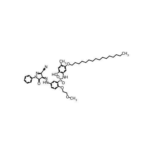 CCCCCCCCCCCCCCCCOc1cc(NS(=O)(=O)c2cc(NN=C3C(=O)N(c4ccccc4)N=C3C#N)ccc2OCCOC)c(O)cc1C